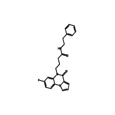 O=C(CCCn1c(=O)c2cccn2c2ccc(F)cc21)NCCc1ccccc1